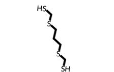 SCSCCCSCS